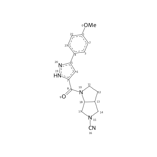 COc1ccc(-c2cc(C(=O)N3CCC4CN(C#N)CC43)[nH]n2)cc1